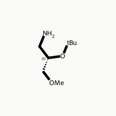 COC[C@H](CN)OC(C)(C)C